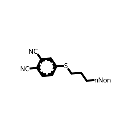 CCCCCCCCCCCCSc1ccc(C#N)c(C#N)c1